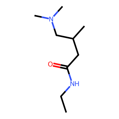 CCNC(=O)CC(C)CN(C)C